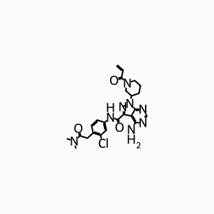 C=CC(=O)N1CCCC(n2nc(C(=O)Nc3ccc(CC(=O)N(C)C)c(Cl)c3)c3c(N)ncnc32)C1